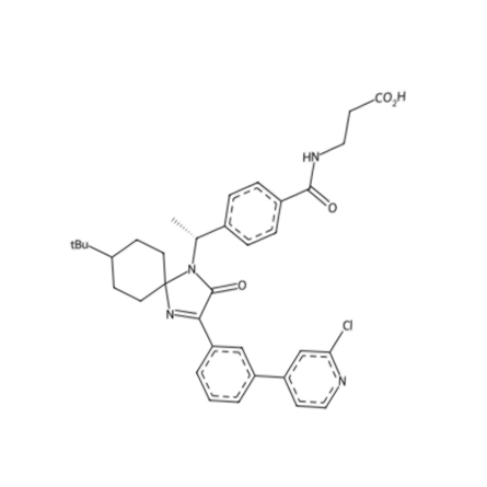 C[C@H](c1ccc(C(=O)NCCC(=O)O)cc1)N1C(=O)C(c2cccc(-c3ccnc(Cl)c3)c2)=NC12CCC(C(C)(C)C)CC2